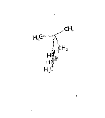 CCCCCCCCCCCCC(CCCCCCCCCCCC)(CCCCCCCCCCCC)CCCCCCCCCCCCCNCCNCCNCCNCCCCCC